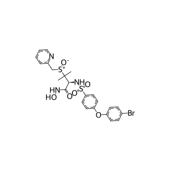 CC(C)([C@@H](NS(=O)(=O)c1ccc(Oc2ccc(Br)cc2)cc1)C(=O)NO)[S@+]([O-])Cc1ccccn1